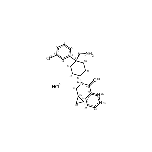 Cl.NC[C@]1(c2cccc(Cl)c2)CC[C@@H](N(CC2CC2)C(=O)c2cccnn2)CC1